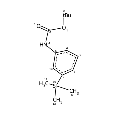 CC(C)(C)OC(=O)Nc1cccc([Si](C)(C)C)c1